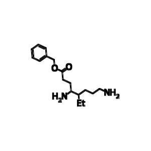 CCC(CCCN)C(N)CCC(=O)OCc1ccccc1